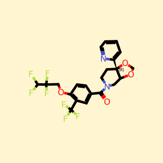 O=C(c1ccc(OCC(F)(F)C(F)F)c(C(F)(F)F)c1)N1CC[C@]2(c3ccccn3)OCOC2C1